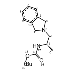 C[C@H](CN1Cc2ccccc2C1)NC(=O)OC(C)(C)C